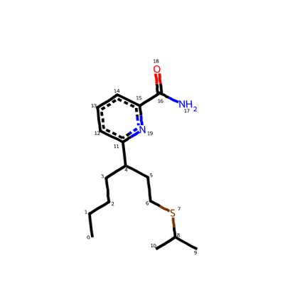 CCCCC(CCSC(C)C)c1cccc(C(N)=O)n1